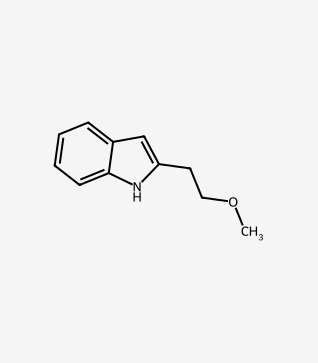 COCCc1cc2ccccc2[nH]1